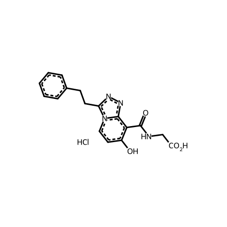 Cl.O=C(O)CNC(=O)c1c(O)ccn2c(CCc3ccccc3)nnc12